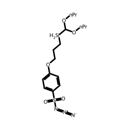 CCCOC(OCCC)[SiH2]CCCOc1ccc(S(=O)(=O)N=[N+]=[N-])cc1